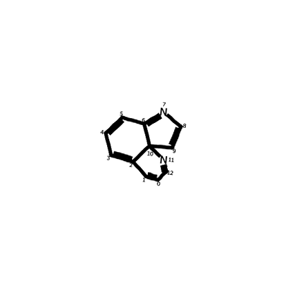 C1=CC2=CC=CC3=NC=CC23N=C1